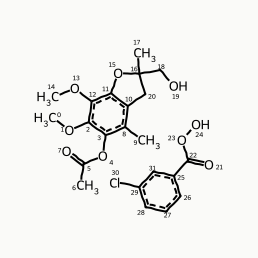 COc1c(OC(C)=O)c(C)c2c(c1OC)OC(C)(CO)C2.O=C(OO)c1cccc(Cl)c1